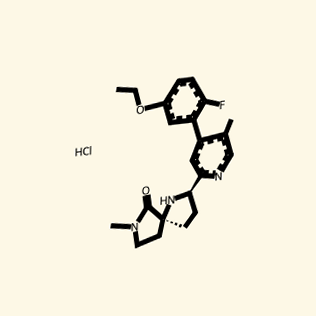 CCOc1ccc(F)c(-c2cc([C@H]3CC[C@@]4(CCN(C)C4=O)N3)ncc2C)c1.Cl